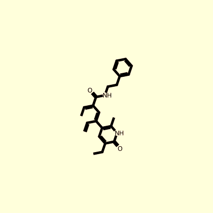 C=C/C(=C\C(=C/C)C(=O)NCCc1ccccc1)c1cc(CC)c(=O)[nH]c1C